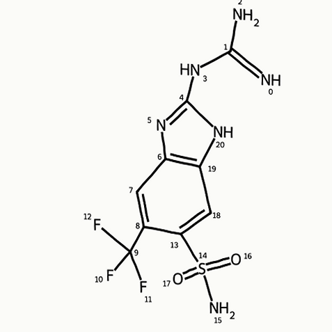 N=C(N)Nc1nc2cc(C(F)(F)F)c(S(N)(=O)=O)cc2[nH]1